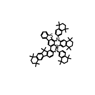 CC1(C)CCC(C)(C)c2cc(N3B4c5cc6c(cc5N(c5ccc7c(c5)C(C)(C)CCC7(C)C)c5c4c(cc4c5sc5ccccc54)-c4c3ccc3c4C(C)(C)c4cc5c(cc4-3)C(C)(C)CCC5(C)C)C(C)(C)CCC6(C)C)ccc21